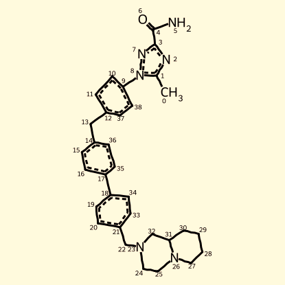 Cc1nc(C(N)=O)nn1-c1ccc(Cc2ccc(-c3ccc(CN4CCN5CCCCC5C4)cc3)cc2)cc1